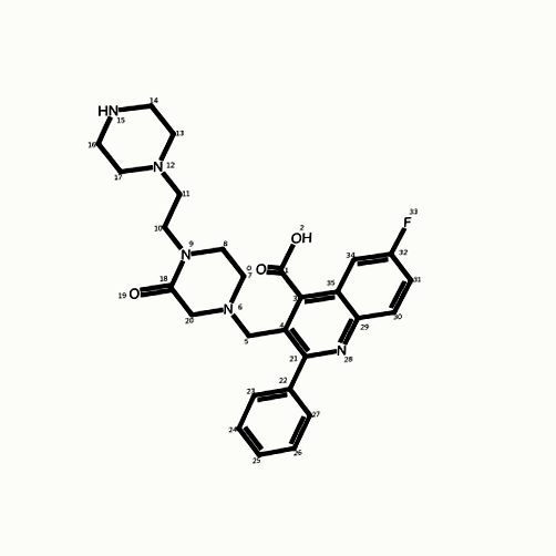 O=C(O)c1c(CN2CCN(CCN3CCNCC3)C(=O)C2)c(-c2ccccc2)nc2ccc(F)cc12